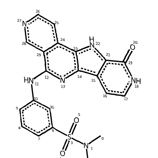 CN(C)S(=O)(=O)c1cccc(Nc2nc3c4cc[nH]c(=O)c4[nH]c3c3ccncc23)c1